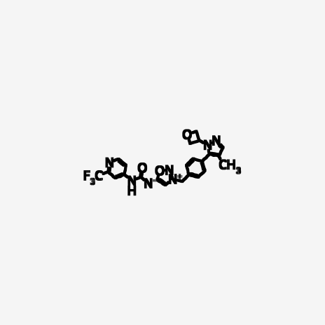 Cc1cnn(C2COC2)c1-c1ccc(C[n+]2cc([N-]C(=O)Nc3ccnc(C(F)(F)F)c3)on2)cc1